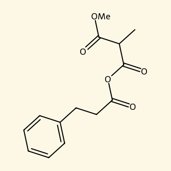 COC(=O)C(C)C(=O)OC(=O)CCc1ccccc1